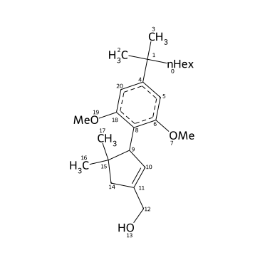 CCCCCCC(C)(C)c1cc(OC)c(C2C=C(CO)CC2(C)C)c(OC)c1